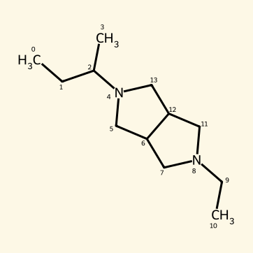 CCC(C)N1CC2CN(CC)CC2C1